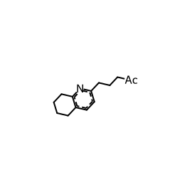 CC(=O)CCCc1ccc2c(n1)CCCC2